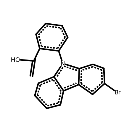 C=C(O)c1ccccc1-n1c2ccccc2c2cc(Br)ccc21